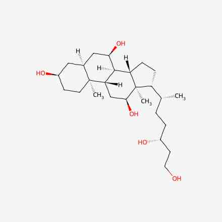 C[C@H](CC[C@@H](O)CCO)[C@H]1CC[C@H]2[C@@H]3[C@H](O)C[C@@H]4C[C@H](O)CC[C@]4(C)[C@H]3C[C@H](O)[C@]12C